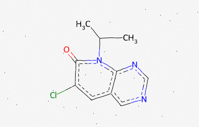 CC(C)n1c(=O)c(Cl)cc2cncnc21